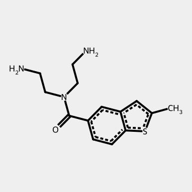 Cc1cc2cc(C(=O)N(CCN)CCN)ccc2s1